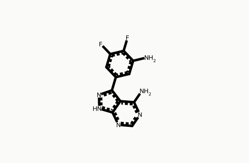 Nc1cc(-c2n[nH]c3ncnc(N)c23)cc(F)c1F